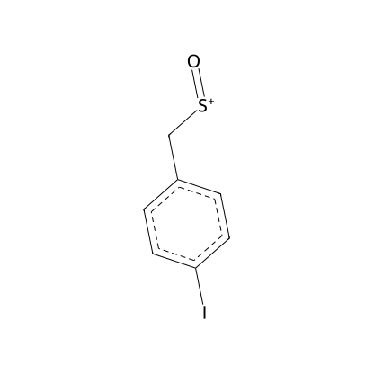 O=[S+]Cc1ccc(I)cc1